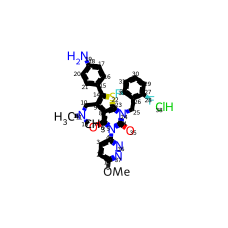 COc1ccc(-n2c(=O)c3c(CN(C)C)c(-c4ccc(N)cc4)sc3n(Cc3c(F)cccc3F)c2=O)nn1.Cl